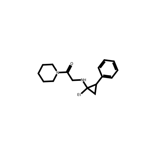 CCC1(NCC(=O)N2CCCCC2)CC1c1ccccc1